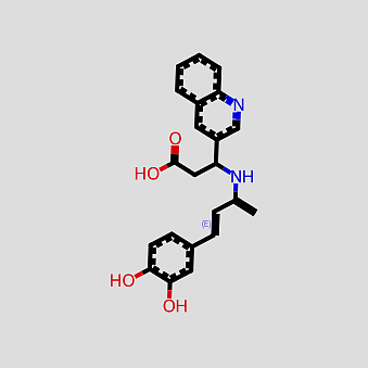 C=C(/C=C/c1ccc(O)c(O)c1)NC(CC(=O)O)c1cnc2ccccc2c1